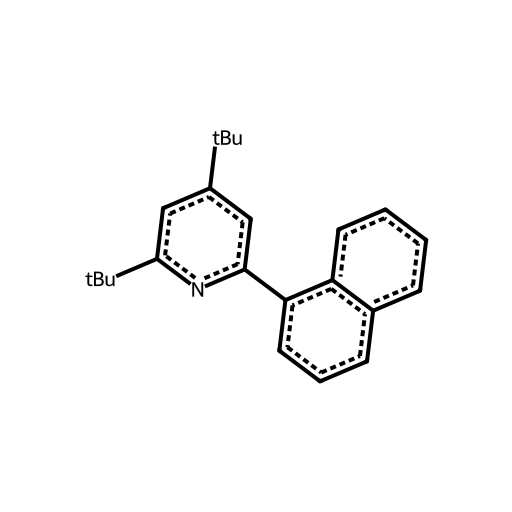 CC(C)(C)c1cc(-c2cccc3ccccc23)nc(C(C)(C)C)c1